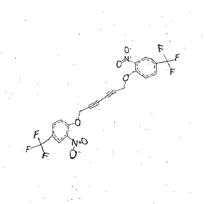 O=[N+]([O-])c1cc(C(F)(F)F)ccc1OCC#CC#CCOc1ccc(C(F)(F)F)cc1[N+](=O)[O-]